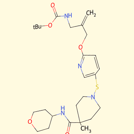 C=C(CNC(=O)OC(C)(C)C)COc1ccc(SN2CCC(C)(C(=O)NC3CCOCC3)CC2)cn1